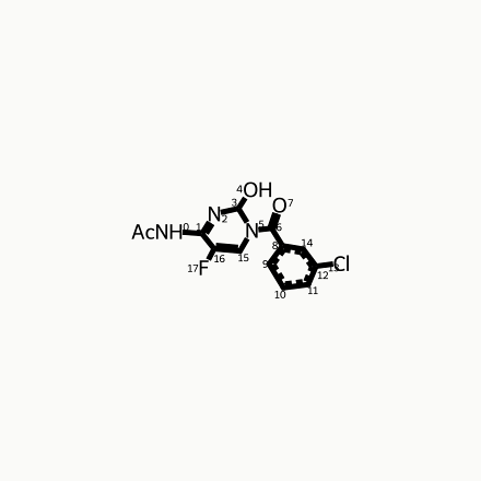 CC(=O)NC1=NC(O)N(C(=O)c2cccc(Cl)c2)C=C1F